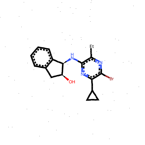 CCc1nc(Br)c(C2CC2)nc1N[C@@H]1c2ccccc2C[C@@H]1O